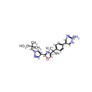 CC(C)C(C)(c1ccc(-c2cnc(N)nc2)cc1)c1coc(-c2cnn(CC(C)(C)C(=O)O)c2)n1